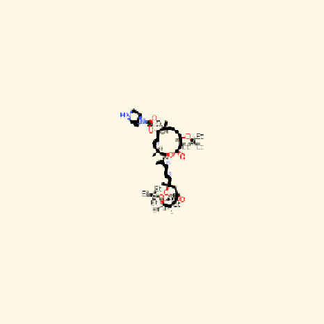 CC[C@H](O[Si](CC)(CC)CC)[C@@H](C)[C@H]1O[C@@H]1CC(C)(/C=C/C=C(\C)[C@H]1OC(=O)C[C@H](O[Si](CC)(CC)CC)CC[C@@](C)(OC(C)=O)[C@@H](OC(=O)N2CC3CC2CN3)/C=C/[C@@H]1C)O[Si](CC)(CC)CC